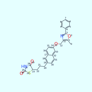 Cc1oc(-c2ccccc2)nc1COc1ccc2cc(CCCC3SC(=O)NC3=O)ccc2c1